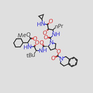 CCCC(NC(=O)N1C[C@@H](OC(=O)N2CCc3ccccc3C2)C[C@H]1C(=O)N[C@H](C(=O)N[C@H](C(=O)OC)C1CCCCC1)C(C)(C)C)C(=O)C(=O)NC1CC1